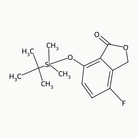 CC(C)(C)[Si](C)(C)Oc1ccc(F)c2c1C(=O)OC2